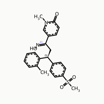 Cc1ccccc1[C@@H](C/C(=N\O)c1ccc(=O)n(C)c1)c1ccc(S(C)(=O)=O)cc1